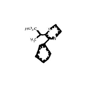 CC(C(=O)O)c1nccnc1-c1ccccc1